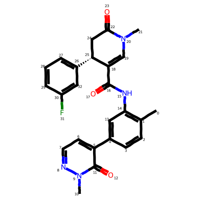 Cc1ccc(-c2ccnn(C)c2=O)cc1NC(=O)C1=CN(C)C(=O)C[C@H]1c1cccc(F)c1